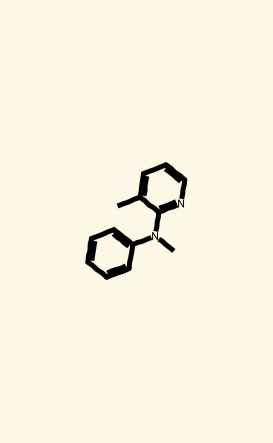 Cc1cccnc1N(C)c1ccccc1